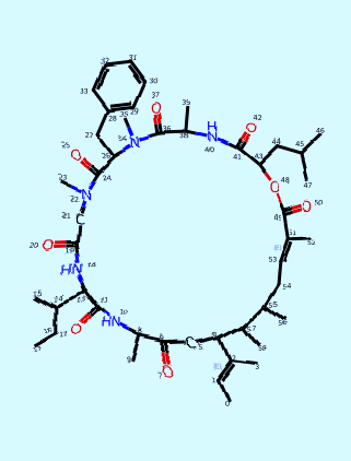 C/C=C(\C)C1CC(=O)C(C)NC(=O)C(C(C)CC)NC(=O)CN(C)C(=O)C(Cc2ccccc2)N(C)C(=O)C(C)NC(=O)C(CC(C)C)OC(=O)/C(C)=C/CC(C)C1C